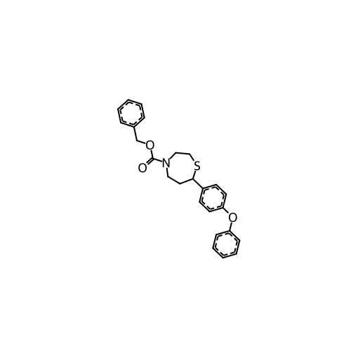 O=C(OCc1ccccc1)N1CCSC(c2ccc(Oc3ccccc3)cc2)CC1